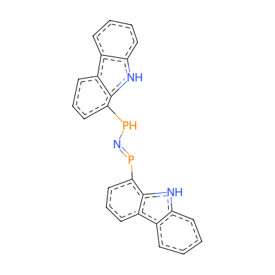 c1ccc2c(c1)[nH]c1c(P=NPc3cccc4c3[nH]c3ccccc34)cccc12